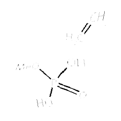 C=C.COP(=O)(O)O